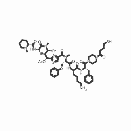 CC[C@H](C)[C@H](NC(=O)[C@H]1CCCCN1C)C(=O)N(C)[C@H](C[C@@H](OC(C)=O)c1nc(C(=O)N(C)[C@@H](CSc2ccccc2)C(=O)N[C@H](CCCCN)C(=O)N[C@@H](Cc2ccccc2)C(=O)N2CCN(C(=O)CCCS)CC2)cs1)C(C)C